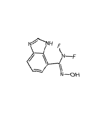 ON=C(c1cccc2nc[nH]c12)N(F)F